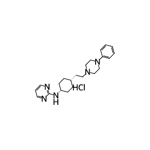 Cl.c1ccc(N2CCN(CC[C@H]3CC[C@@H](Nc4ncccn4)CC3)CC2)cc1